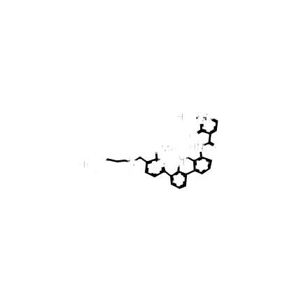 COc1nc(-c2cccc(-c3cccc(NC(=O)c4ccnn(C)c4=O)c3Cl)c2Cl)ccc1CNCCCC(=O)O